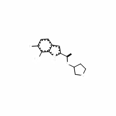 Cc1c(F)ccc2cc(C(=O)NC3CCNC3)[nH]c12